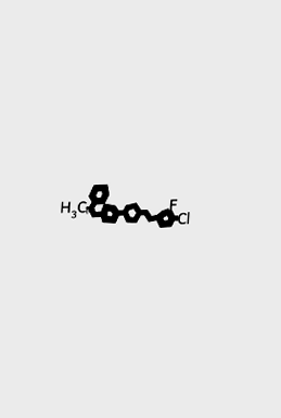 C[C@H](Cc1ccc(C2CCC(CCc3ccc(Cl)c(F)c3)CC2)cc1)c1ccccc1